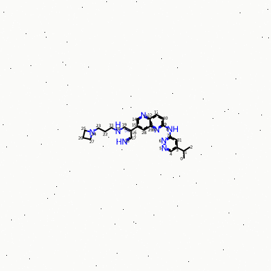 CC(C)c1cnnc(Nc2ccc3ncc(/C(C=N)=C/NCCCN4CCC4)cc3n2)c1